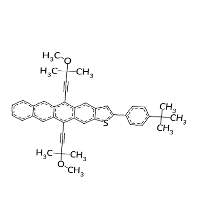 COC(C)(C)C#Cc1c2cc3ccccc3cc2c(C#CC(C)(C)OC)c2cc3sc(-c4ccc(C(C)(C)C)cc4)cc3cc12